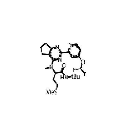 CSCC[C@H](C(=O)NC(C)(C)C)N(C)c1nc(-c2cc(OC(F)F)ccn2)nc2c1CCC2